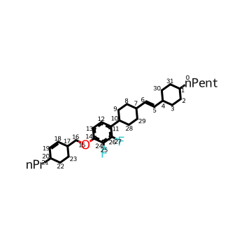 CCCCCC1CCC(/C=C/C2CCC(c3ccc(OCC4C=CC(CCC)CC4)c(F)c3F)CC2)CC1